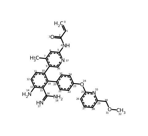 C=CC(=O)Nc1cc(C)c(-c2ccc(N)c(C(=N)N)c2-c2ccc(Oc3cccc(COC)n3)cc2)cn1